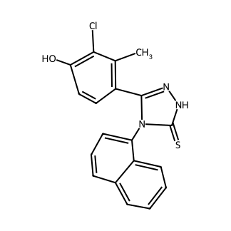 Cc1c(-c2n[nH]c(=S)n2-c2cccc3ccccc23)ccc(O)c1Cl